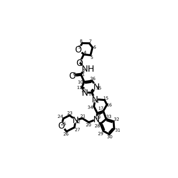 O=C(NOC1CCCCO1)c1cnc(N2CCc3c(n(CCN4CCOCC4)c4ccccc34)C2)nc1